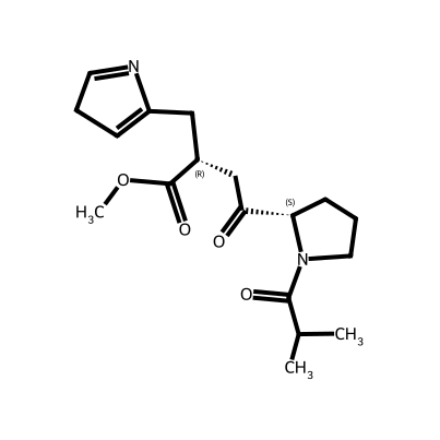 COC(=O)[C@@H](CC(=O)[C@@H]1CCCN1C(=O)C(C)C)CC1=CCC=N1